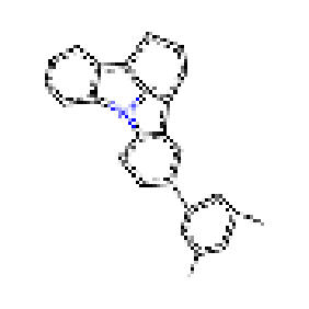 Cc1cc(C)cc(-c2ccc3c(c2)c2cccc4c5ccccc5n3c42)c1